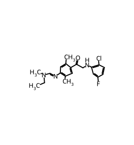 CCN(C)C=Nc1cc(C)c(C(=O)CNc2cc(F)ccc2Cl)cc1C